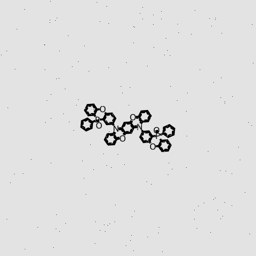 O=P1(c2ccccc2)c2ccccc2Oc2ccc(-n3c4ccccc4oc4cc5c(cc43)oc3ccccc3n5-c3ccc4c(c3)P(=O)(c3ccccc3)c3ccccc3O4)cc21